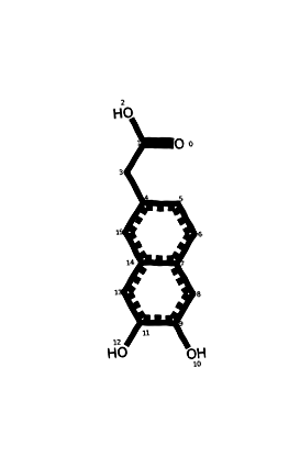 O=C(O)Cc1ccc2cc(O)c(O)cc2c1